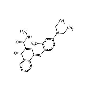 CCN(CC)c1ccc(/N=C2\C=C(C(=O)NC)C(=O)c3ccccc32)c(C)c1